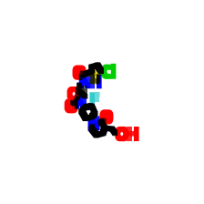 O=C(NC[C@H]1CN(c2ccc(-n3cccc(CCO)c3=O)cc2F)C(=O)O1)c1ccc(Cl)s1